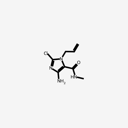 C=CCn1c(Cl)nc(N)c1C(=O)NC